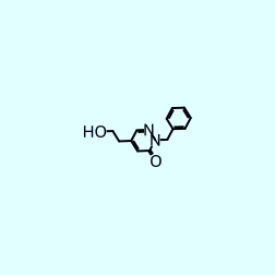 O=c1cc(CCO)cnn1Cc1ccccc1